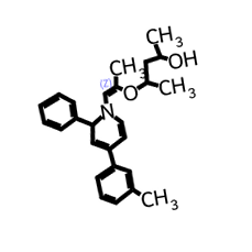 C/C(=C/N1C=CC(c2cccc(C)c2)=CC1c1ccccc1)OC(C)CC(C)O